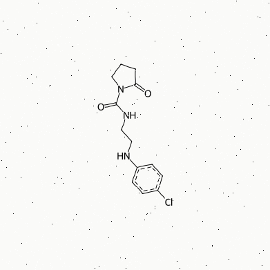 O=C1CCCN1C(=O)NCCNc1ccc(Cl)cc1